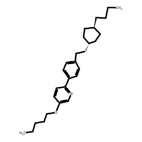 CCCCCOc1ccc(-c2ccc(CC[C@H]3CC[C@H](CCCC)CC3)cc2)nc1